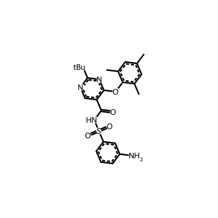 Cc1cc(C)c(Oc2nc(C(C)(C)C)ncc2C(=O)NS(=O)(=O)c2cccc(N)c2)c(C)c1